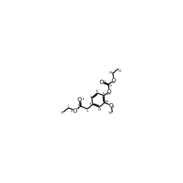 CCOC(=O)Cc1ccc(OC(=O)OCC)c(OC)c1